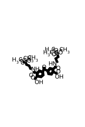 CO[Si](C)(CCCNC(=O)c1cc(C(=O)c2ccc(C(=O)O)c(C(=O)NCCC[Si](OC)(OC)OC)c2)ccc1C(=O)O)OC